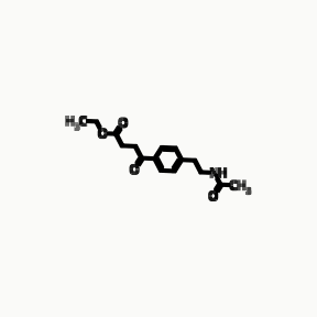 CCOC(=O)CCC(=O)c1ccc(CCNC(C)=O)cc1